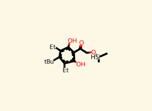 CCc1c(O)c(C(=O)CO[SiH](C)C)c(O)c(CC)c1C(C)(C)C